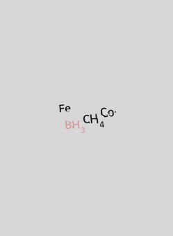 B.C.[Co].[Fe]